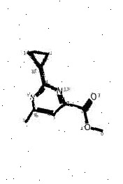 COC(=O)c1cc(C)nc(C2CC2)n1